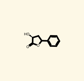 O=C1OC(c2ccccc2)C[C@@H]1O